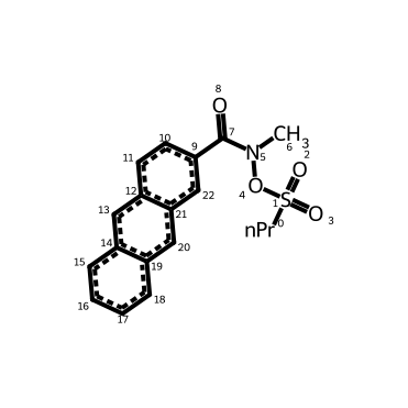 CCCS(=O)(=O)ON(C)C(=O)c1ccc2cc3ccccc3cc2c1